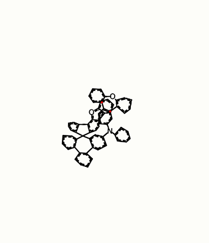 c1ccc(N(c2ccc3c(c2)-c2ccccc2Oc2ccccc2-3)c2ccc3c(c2)C2(c4ccccc4-c4ccccc4-3)c3ccccc3-c3c2ccc2c3oc3ccccc32)cc1